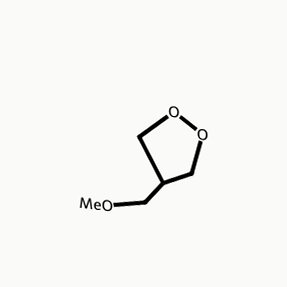 COCC1COOC1